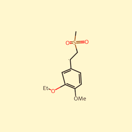 CCOc1cc([CH]CS(C)(=O)=O)ccc1OC